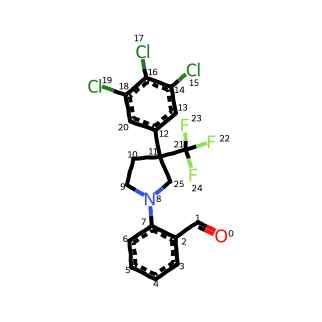 O=Cc1ccccc1N1CCC(c2cc(Cl)c(Cl)c(Cl)c2)(C(F)(F)F)C1